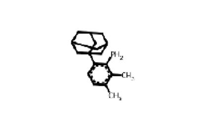 Cc1ccc(C23CC4CC(CC(C4)C2)C3)c(P)c1C